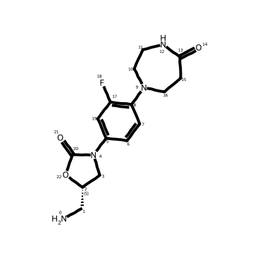 NC[C@H]1CN(c2ccc(N3CCNC(=O)CC3)c(F)c2)C(=O)O1